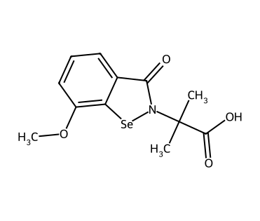 COc1cccc2c(=O)n(C(C)(C)C(=O)O)[se]c12